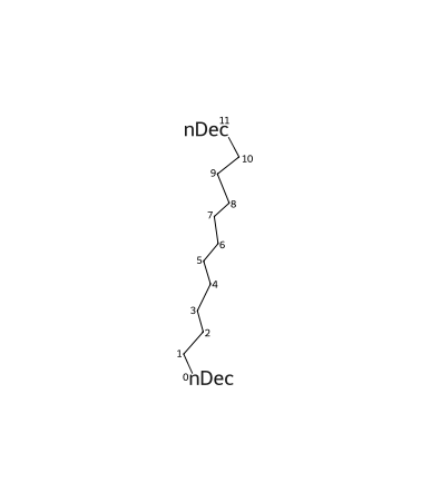 [CH]CCCCCCCCCCCCCCCCCCCCCCCCCCCCC